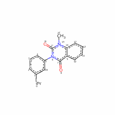 CC(C)c1cccc(-n2c(=O)c3ccccc3n(C)c2=O)c1